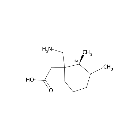 CC1CCCC(CN)(CC(=O)O)[C@H]1C